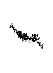 CN(C)CCCOc1ccc(NC(=O)c2ccc(C(=O)Nc3ccc(OCCCN(C)C)cc3N)c(F)c2)c(N)c1